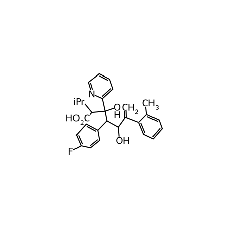 C=C(c1ccccc1C)C(O)C(c1ccc(F)cc1)C(O)(c1ccccn1)C(C(=O)O)C(C)C